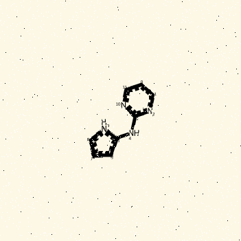 c1cnc(Nc2ccc[nH]2)nc1